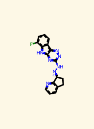 Fc1cccc2c1[nH]c1nc(N/N=C3\CCc4cccnc43)nnc12